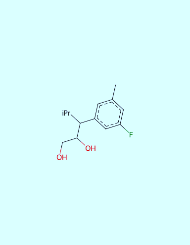 Cc1cc(F)cc(C(C(C)C)C(O)CO)c1